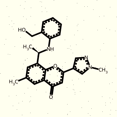 Cc1cc([C@@H](C)Nc2ccccc2CO)c2oc(-c3cnn(C)c3)cc(=O)c2c1